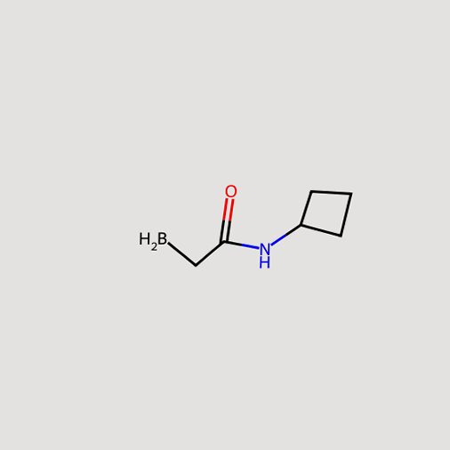 BCC(=O)NC1CCC1